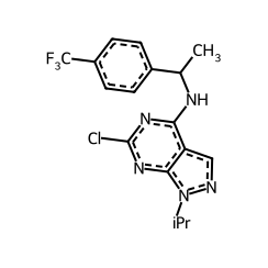 CC(Nc1nc(Cl)nc2c1cnn2C(C)C)c1ccc(C(F)(F)F)cc1